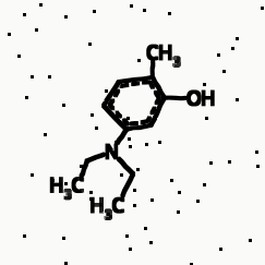 CCN(CC)c1ccc(C)c(O)c1